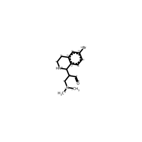 CN(C)CC(C=O)C1NCCc2cc(Br)ccc21